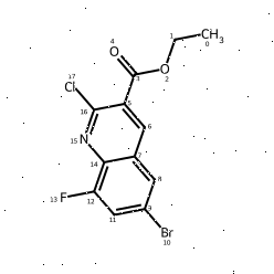 CCOC(=O)c1cc2cc(Br)cc(F)c2nc1Cl